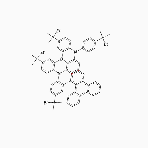 CCC(C)(C)c1ccc(N2c3ccc(C(C)(C)CC)cc3B3c4cc(C(C)(C)CC)ccc4N(c4ccc(C(C)(C)CC)cc4-c4cccc5c6ccccc6c6ccccc6c45)c4cccc2c43)cc1